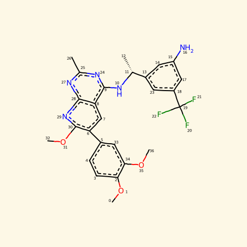 COc1ccc(-c2cc3c(N[C@H](C)c4cc(N)cc(C(F)(F)F)c4)nc(C)nc3nc2OC)cc1OC